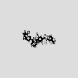 COc1cc(C(=O)Nc2cc(C(F)(F)F)ccn2)ccc1C1=NC([C@@H]2CC[C@H]3CC(C)(C)C(=O)N3C2)=C2C=NC=C[N+]12N